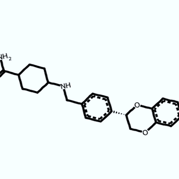 NC(=O)C1CCC(NCc2ccc([C@H]3COc4ccccc4O3)cc2)CC1